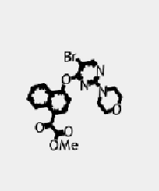 COC(=O)C(=O)c1ccc(Oc2nc(N3CCOCC3)ncc2Br)c2ccccc12